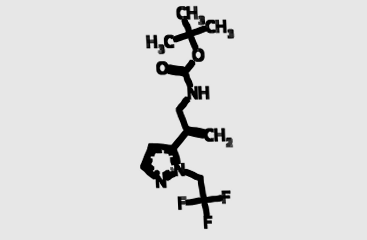 C=C(CNC(=O)OC(C)(C)C)c1ccnn1CC(F)(F)F